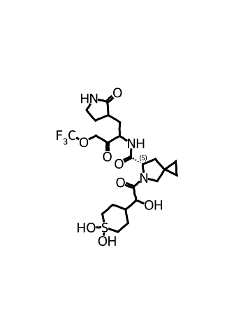 O=C1NCCC1CC(NC(=O)[C@@H]1CC2(CC2)CN1C(=O)C(O)C1CCS(O)(O)CC1)C(=O)COC(F)(F)F